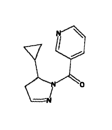 O=C(c1cccnc1)N1N=CCC1C1CC1